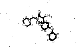 CC(C(=O)N(O)CN1CCOCC1)c1cccc(Oc2ccccc2)c1